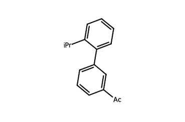 CC(=O)c1cccc(-c2ccccc2C(C)C)c1